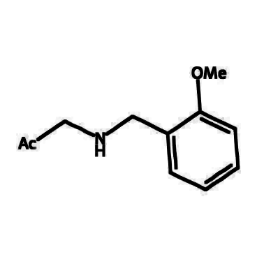 COc1ccccc1CNCC(C)=O